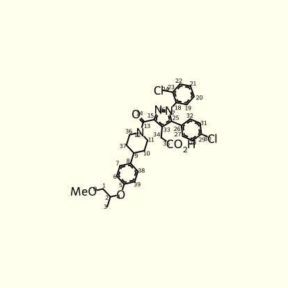 COCC(C)Oc1ccc(C2CCN(C(=O)c3nn(-c4ccccc4Cl)c(-c4ccc(Cl)cc4)c3CC(=O)O)CC2)cc1